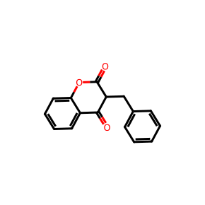 O=C1Oc2ccccc2C(=O)C1Cc1ccccc1